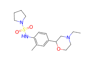 CCN1CCOC(c2ccc(NS(=O)(=O)N3CCCC3)c(C)c2)C1